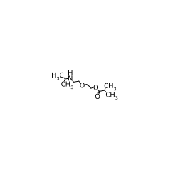 CC(C)NCCOCCOC(=O)C(C)C